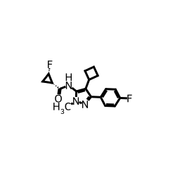 Cn1nc(-c2ccc(F)cc2)c(C2CCC2)c1NC(=O)[C@@H]1C[C@@H]1F